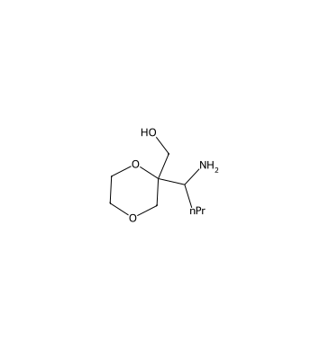 CCCC(N)C1(CO)COCCO1